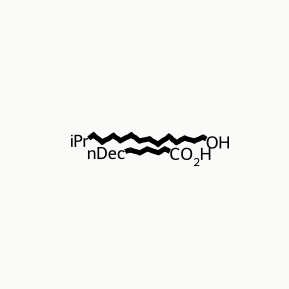 CC(C)CCCCCCCCCCCCCO.CCCCCCCCCCCCCCCC(=O)O